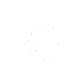 Br.CC(=CC(=O)N1CCN(Cc2ccc(CCOc3ccc(C)cc3)cc2)CC1)c1cc(C)c(Oc2ccc(OCc3ccccc3Cl)cn2)c(Cl)c1